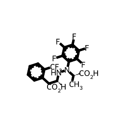 C[C@@H](C(=O)O)N(N[C@@H](Cc1ccccc1C(F)(F)F)C(=O)O)c1c(F)c(F)c(F)c(F)c1F